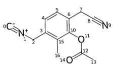 [C-]#[N+]Cc1ccc(CC#N)c(OC(C)=O)c1C